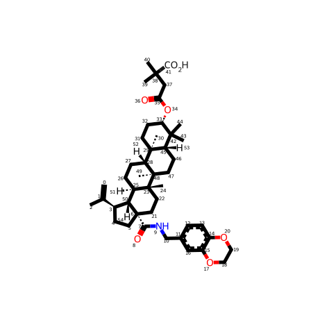 C=C(C)[C@@H]1CC[C@]2(C(=O)NCc3ccc4c(c3)OCCO4)CC[C@]3(C)[C@H](CC[C@@H]4[C@@]5(C)CC[C@H](OC(=O)CC(C)(C)C(=O)O)C(C)(C)[C@@H]5CC[C@]43C)[C@@H]12